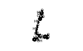 CC1(C)OC(=O)c2ccc(Nc3ncc(-c4nnc(CCNCCOCCNc5ccc6c(c5)C(=O)N(C5CCC(=O)NC5=O)C6=O)o4)c(N[C@H](CO)c4ccccc4)n3)cc21